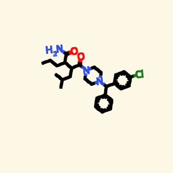 CCCC(C(N)=O)C(CC(C)C)C(=O)N1CCN(C(c2ccccc2)c2ccc(Cl)cc2)CC1